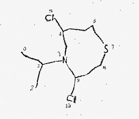 CC(C)N1C(Cl)CSCC1Cl